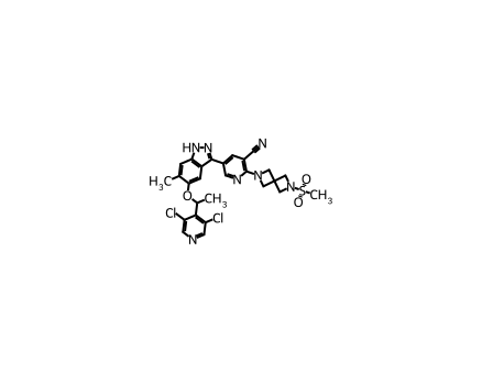 Cc1cc2[nH]nc(-c3cnc(N4CC5(C4)CN(S(C)(=O)=O)C5)c(C#N)c3)c2cc1OC(C)c1c(Cl)cncc1Cl